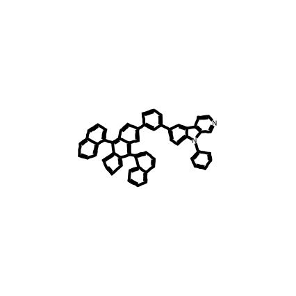 c1ccc(-n2c3ccc(-c4cccc(-c5ccc6c(-c7cccc8ccccc78)c7ccccc7c(-c7cccc8ccccc78)c6c5)c4)cc3c3ccncc32)cc1